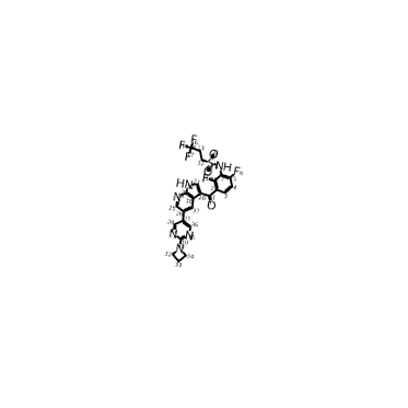 O=C(c1ccc(F)c(NS(=O)(=O)CCC(F)(F)F)c1F)c1c[nH]c2ncc(-c3cnc(N4CCC4)nc3)cc12